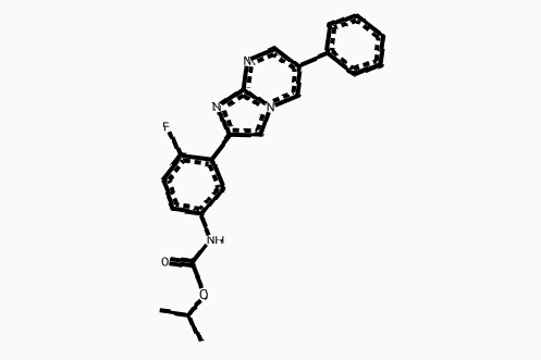 CC(C)OC(=O)Nc1ccc(F)c(-c2cn3cc(-c4ccccc4)cnc3n2)c1